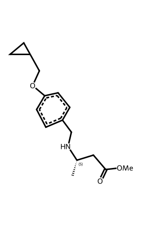 COC(=O)C[C@H](C)NCc1ccc(OCC2CC2)cc1